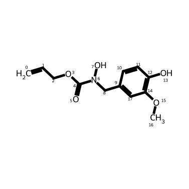 C=CCOC(=O)N(O)Cc1ccc(O)c(OC)c1